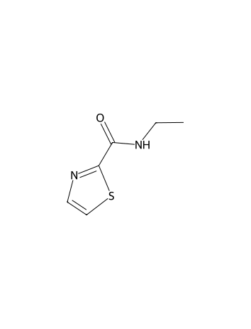 CCNC(=O)c1nccs1